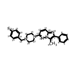 Cc1c(-c2ccccc2)nc2ccc(N3CCN(Cc4ccc(F)cc4)CC3)nn12